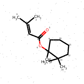 CC(C)=CC(=O)OC1(C)CCCCC1(C)C